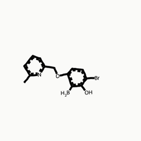 Bc1c(OCc2cccc(C)n2)ccc(Br)c1O